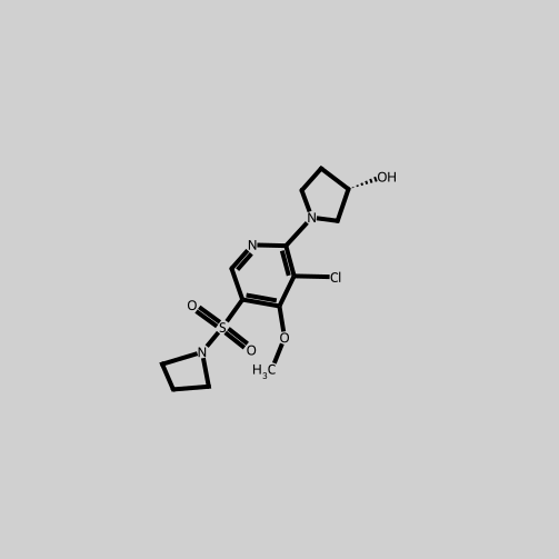 COc1c(S(=O)(=O)N2CCC2)cnc(N2CC[C@H](O)C2)c1Cl